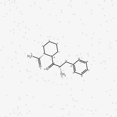 CC(=O)[C@@H]1CCCCN1C(=O)[C@@H](C)Cc1ccccc1